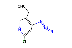 [N-]=[N+]=Nc1cc(Cl)ncc1CC=O